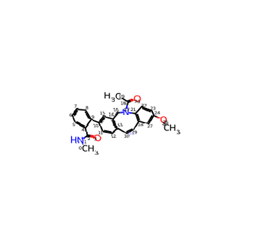 CNC(=O)c1ccccc1-c1ccc2c(c1)CN(C(C)=O)c1ccc(OC)cc1/C=C\2